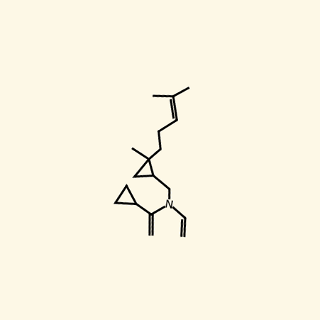 C=CN(CC1CC1(C)CCC=C(C)C)C(=C)C1CC1